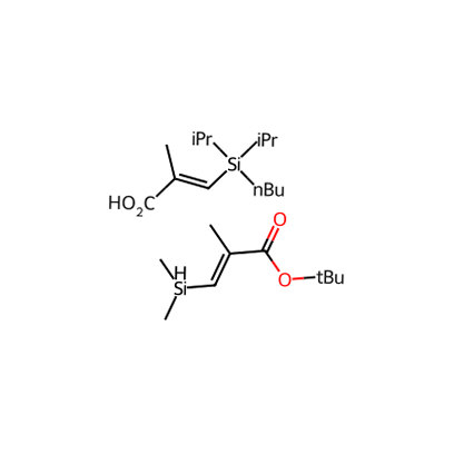 CC(=C[SiH](C)C)C(=O)OC(C)(C)C.CCCC[Si](C=C(C)C(=O)O)(C(C)C)C(C)C